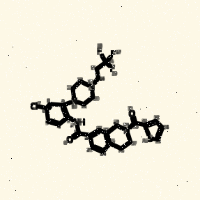 O=C(Nc1ccc(Cl)cc1N1CCN(CCC(F)(F)F)CC1)c1ccc2c(c1)CN(C(=O)c1cccs1)CC2